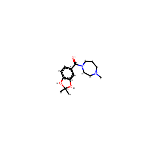 CN1CCCN(C(=O)c2ccc3c(c2)OC(C)(C)O3)CC1